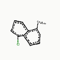 COc1cccc2c(Cl)cccc12